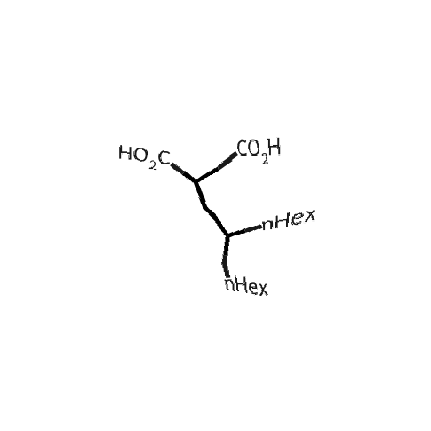 CCCCCCC(CCCCCC)CC(C(=O)O)C(=O)O